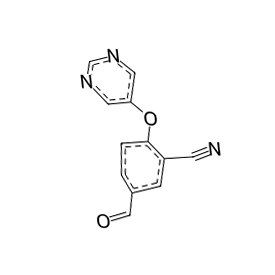 N#Cc1cc(C=O)ccc1Oc1cncnc1